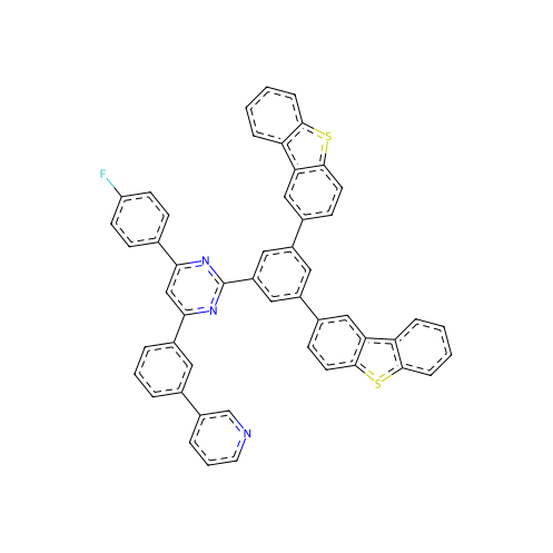 Fc1ccc(-c2cc(-c3cccc(-c4cccnc4)c3)nc(-c3cc(-c4ccc5sc6ccccc6c5c4)cc(-c4ccc5sc6ccccc6c5c4)c3)n2)cc1